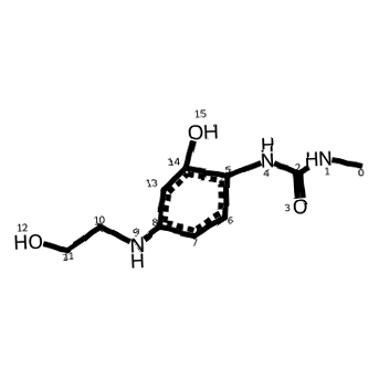 CNC(=O)Nc1ccc(NCCO)cc1O